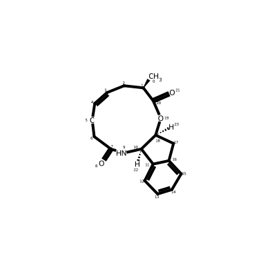 C[C@@H]1CC=CCCC(=O)N[C@@H]2c3ccccc3C[C@@H]2OC1=O